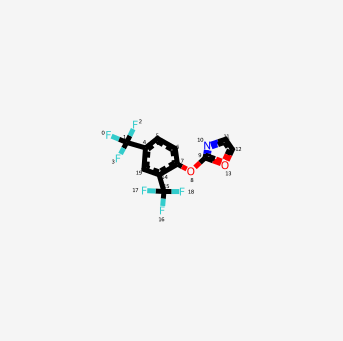 FC(F)(F)c1ccc(Oc2n[c]co2)c(C(F)(F)F)c1